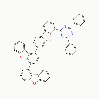 c1ccc(-c2nc(-c3ccccc3)nc(-c3cccc4c3oc3cc(-c5ccc(-c6cccc7oc8ccccc8c67)c6oc7ccccc7c56)ccc34)n2)cc1